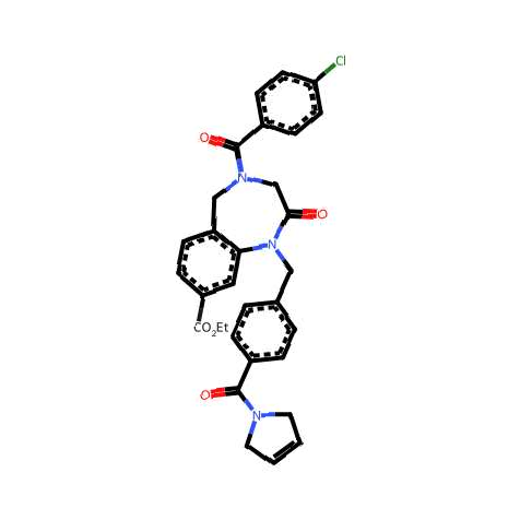 CCOC(=O)c1ccc2c(c1)N(Cc1ccc(C(=O)N3CC=CC3)cc1)C(=O)CN(C(=O)c1ccc(Cl)cc1)C2